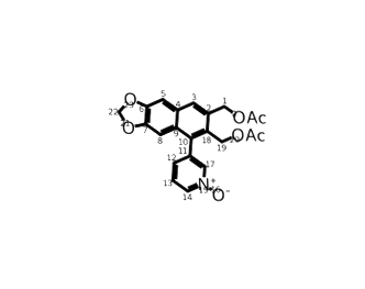 CC(=O)OCc1cc2cc3c(cc2c(-c2ccc[n+]([O-])c2)c1COC(C)=O)OCO3